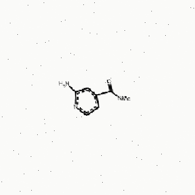 CNC(=O)c1ccnc(N)c1